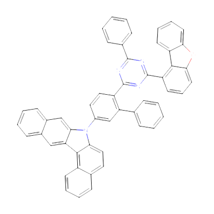 c1ccc(-c2nc(-c3ccc(-n4c5cc6ccccc6cc5c5c6ccccc6ccc54)cc3-c3ccccc3)nc(-c3cccc4oc5ccccc5c34)n2)cc1